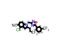 N#Cc1ccc2c(cc(CCC(F)(F)F)n2Cc2noc(-c3cccc(C(F)(F)F)c3)n2)c1Cl